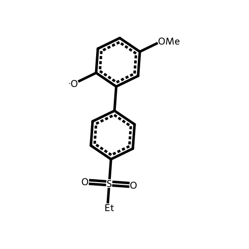 CCS(=O)(=O)c1ccc(-c2cc(OC)ccc2[O])cc1